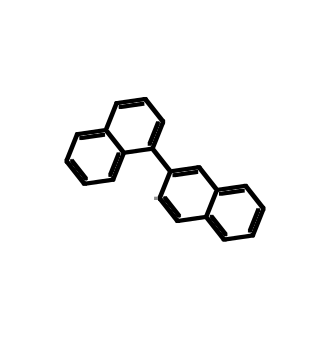 [c]1cc2ccccc2cc1-c1cccc2ccccc12